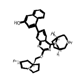 Oc1cc(-c2ccc3c(N4[C@@H]5CC[C@H]4CNC5)nc(OC[C@@]45CCCN4C[C@H](F)C5)nc3c2)c2ccccc2c1